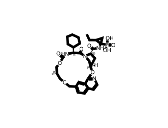 CCC1CC1(NC(=O)[C@@H]1C[C@@H]2CN1C(=O)[C@H](C1CCCCC1)NC(=O)OC[C@@H](C)CCCc1ccc3ccnc(c3c1)O2)P(=O)(O)O